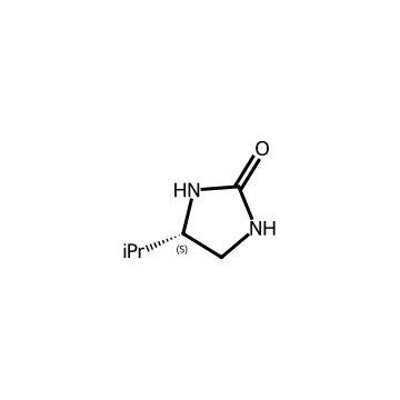 CC(C)[C@H]1CNC(=O)N1